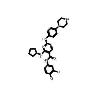 O=C(Nc1ccc(Cl)c(Cl)c1)c1cnc(Nc2ccc(N3CCNCC3)cc2)nc1NC1CCCC1